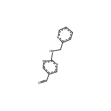 O=Cc1cnc(NCc2ccccn2)nc1